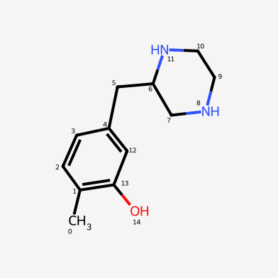 Cc1ccc(CC2CNCCN2)cc1O